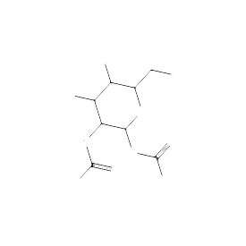 CCC1OC(OC(C)=O)C(NC(C)=O)C(C)C1C